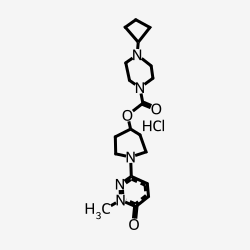 Cl.Cn1nc(N2CCC(OC(=O)N3CCN(C4CCC4)CC3)CC2)ccc1=O